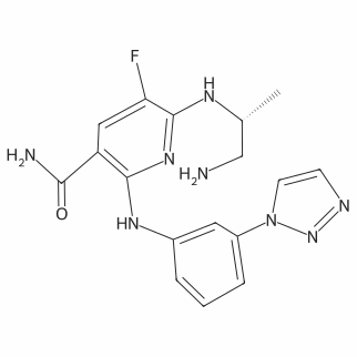 C[C@H](CN)Nc1nc(Nc2cccc(-n3ccnn3)c2)c(C(N)=O)cc1F